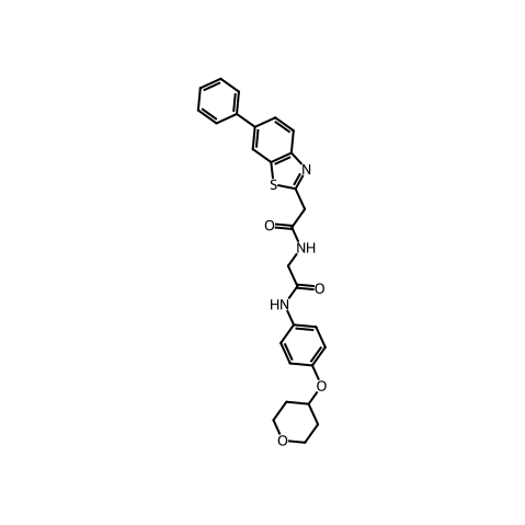 O=C(Cc1nc2ccc(-c3ccccc3)cc2s1)NCC(=O)Nc1ccc(OC2CCOCC2)cc1